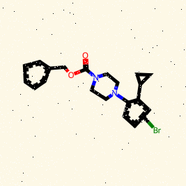 O=C(OCc1ccccc1)N1CCN(c2ccc(Br)cc2C2CC2)CC1